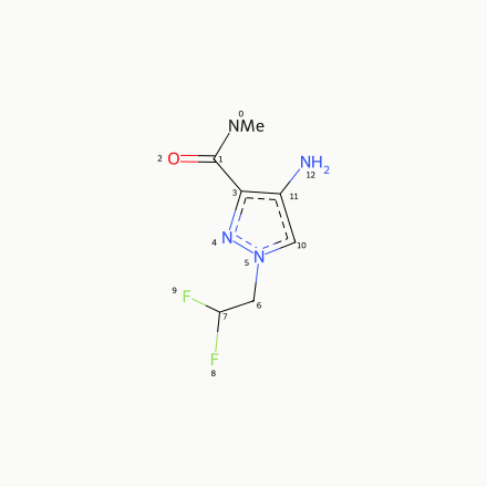 CNC(=O)c1nn(CC(F)F)cc1N